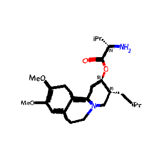 COC1=C(OC)CC2=C3C[C@@H](OC(=O)[C@@H](N)C(C)C)[C@H](CC(C)C)CN3CCC2=C1